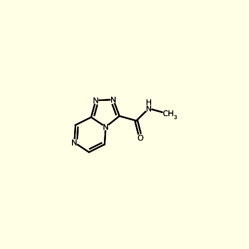 CNC(=O)c1nnc2cnccn12